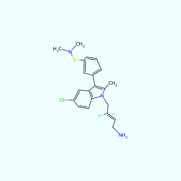 Cc1c(-c2cccc(SN(C)C)c2)c2cc(Cl)ccc2n1C/C(F)=C/CN